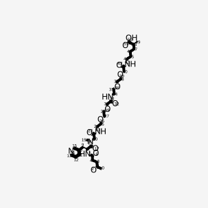 CC(=O)CCC(=O)N[C@@H](Cc1cccnc1)C(=O)N(C)CC(=O)NCCOCCOCC(=O)NCCOCCOCC(=O)NCCCC[C@H](C)C(=O)O